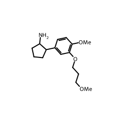 COCCCOc1cc(C2CCCC2N)ccc1OC